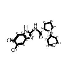 O=C(Nc1nc2cc(Cl)c(Cl)cc2[nH]1)[C@@H]1CCCN1C1CCOCC1